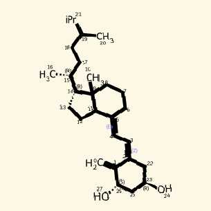 C=C1/C(=C\C=C2/CCCC3(C)C2CC[C@@H]3[C@H](C)CCC(C)C(C)C)C[C@@H](O)C[C@@H]1O